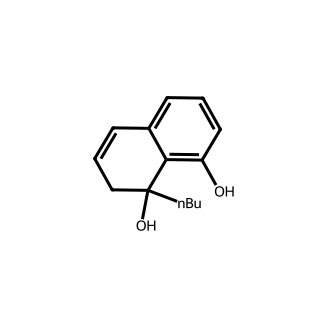 CCCCC1(O)CC=Cc2cccc(O)c21